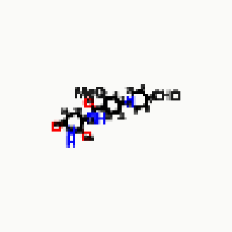 COc1cc(N2CCC(C=O)CC2)ccc1C(=O)NC1CCC(=O)NC1=O